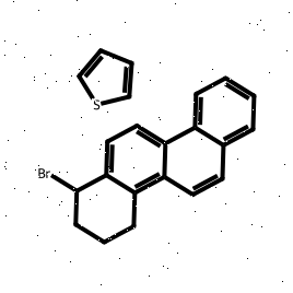 BrC1CCCc2c1ccc1c2ccc2ccccc21.c1ccsc1